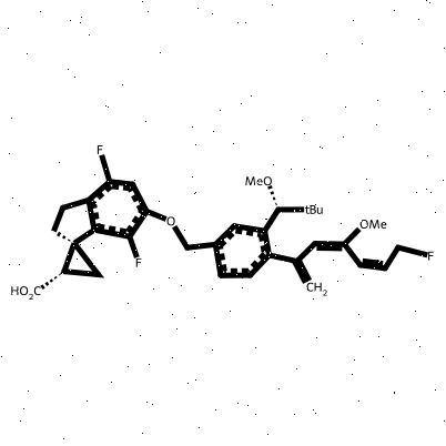 C=C(/C=C(\C=C/CF)OC)c1ccc(COc2cc(F)c3c(c2F)[C@@]2(CC3)C[C@@H]2C(=O)O)cc1[C@H](OC)C(C)(C)C